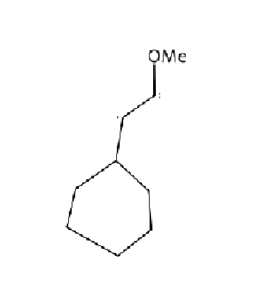 CO[C][CH]C1CCCCC1